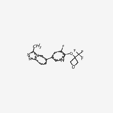 Cc1nnc2ccc(-c3cnc(OC4(C(F)(F)F)COC4)c(F)c3)cn12